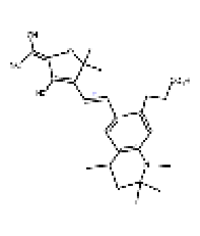 CC1CC(C)(C)N(C)c2cc(CCC(=O)O)c(/C=C/C3=C(C#N)C(=C(C#N)C#N)OC3(C)C)cc21